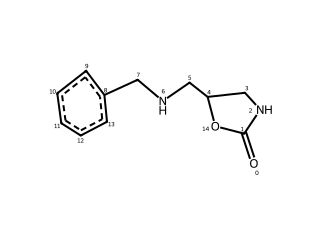 O=C1NCC(CNCc2ccccc2)O1